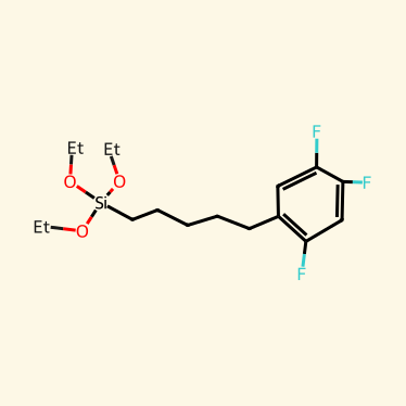 CCO[Si](CCCCCc1cc(F)c(F)cc1F)(OCC)OCC